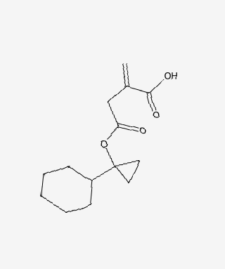 C=C(CC(=O)OC1(C2CCCCC2)CC1)C(=O)O